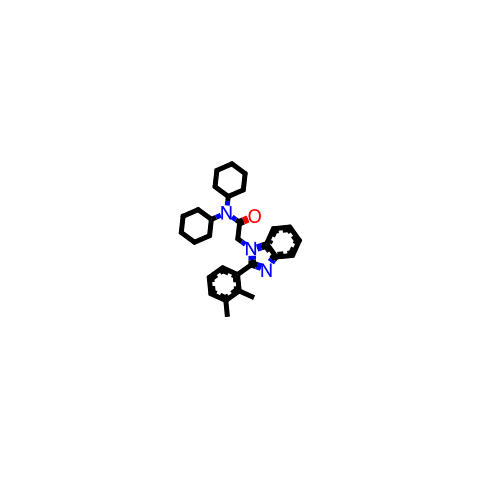 Cc1cccc(-c2nc3ccccc3n2CC(=O)N(C2CCCCC2)C2CCCCC2)c1C